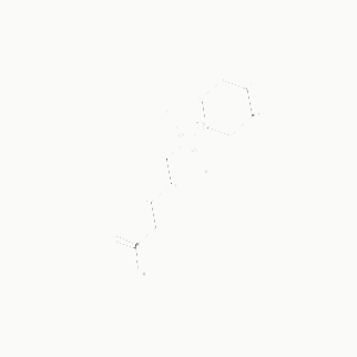 O=C(O)CCCCS(=O)(=O)N1CCCCC1